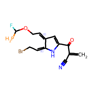 C=C(C#N)C(=O)c1cc(=C/COC(F)P)/c(=C\CBr)[nH]1